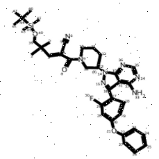 CC(C)(C=C(C#N)C(=O)N1CCC[C@@H](n2nc(-c3ccc(Oc4ccccc4)cc3F)c3c(N)ncnc32)C1)CO[Si](C)(C)C(C)(C)C